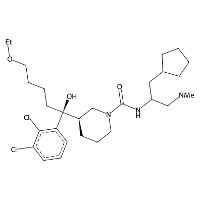 CCOCCCC[C@@](O)(c1cccc(Cl)c1Cl)[C@@H]1CCCN(C(=O)NC(CNC)CC2CCCC2)C1